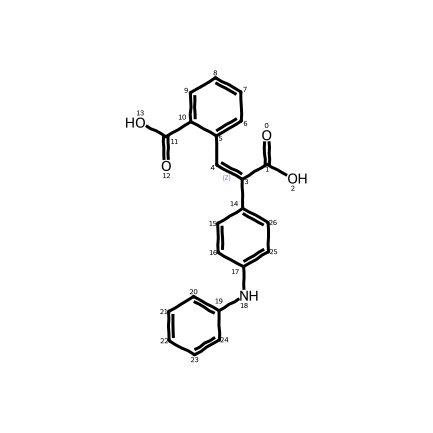 O=C(O)/C(=C\c1ccccc1C(=O)O)c1ccc(Nc2ccccc2)cc1